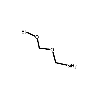 CCOCOC[SiH2]